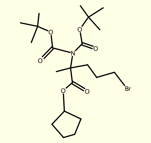 CC(C)(C)OC(=O)N(C(=O)OC(C)(C)C)C(C)(CCCBr)C(=O)OC1CCCC1